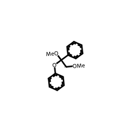 CO[CH]C(OC)(Oc1ccccc1)c1ccccc1